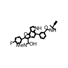 C#CC(C)(C)NC(=O)c1cccc(-c2cc3c(C(O)NC)c(-c4ccc(F)cc4)oc3c3cc[nH]c23)c1